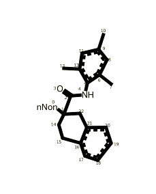 CCCCCCCCCC1(C(=O)Nc2c(C)cc(C)cc2C)CCc2ccccc2C1